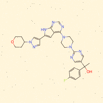 CC(O)(c1ccc(F)cc1)c1cnc(N2CCN(c3ncnc4[nH]c(-c5cnn(C6CCOCC6)c5)cc34)CC2)nc1